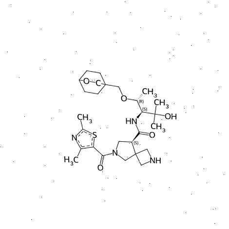 Cc1nc(C)c(C(=O)N2C[C@@H](C(=O)N[C@@H]([C@@H](C)OCC34CCC(CC3)OC4)C(C)(C)O)C3(CNC3)C2)s1